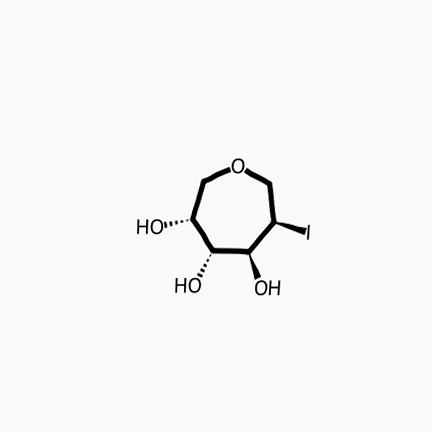 O[C@H]1[C@H](O)[C@H](I)COC[C@H]1O